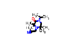 CC(C)N1CC(C)(C)N(CC#N)C(C)(C)C1=O